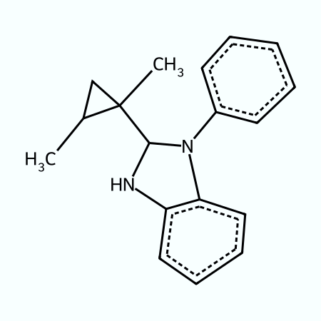 CC1CC1(C)C1Nc2ccccc2N1c1ccccc1